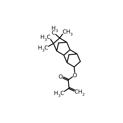 C=C(C)C(=O)OC1CC2CC1C1C2C2CC1C(C)(C)C2(C)C